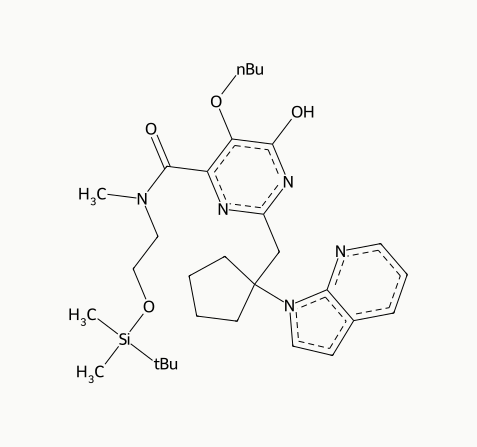 CCCCOc1c(O)nc(CC2(n3ccc4cccnc43)CCCC2)nc1C(=O)N(C)CCO[Si](C)(C)C(C)(C)C